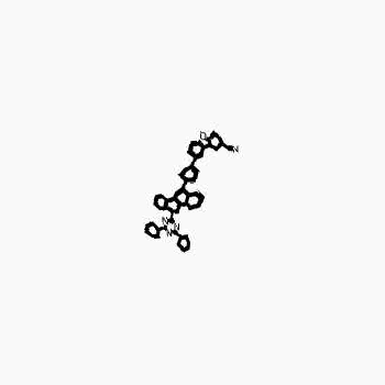 N#Cc1ccc2oc3ccc(-c4ccc(-c5cc6c7ccccc7c(-c7nc(-c8ccccc8)nc(-c8ccccc8)n7)cc6c6ccccc56)cc4)cc3c2c1